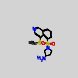 CCCCSc1cncc2cccc(S(=O)(=O)N3CCC(N)C3)c12